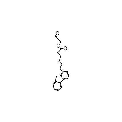 O=C(CCCCCc1cccc2c1Cc1ccccc1-2)OCC1CO1